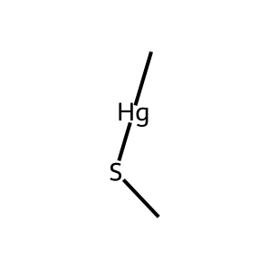 C[S][Hg][CH3]